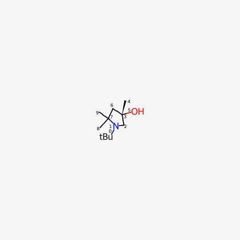 CC(C)(C)N1C[C@@](C)(O)CC1(C)C